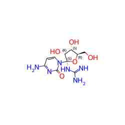 N=C(N)N[C@@]1(n2ccc(N)nc2=O)O[C@H](CO)[C@@H](O)[C@H]1O